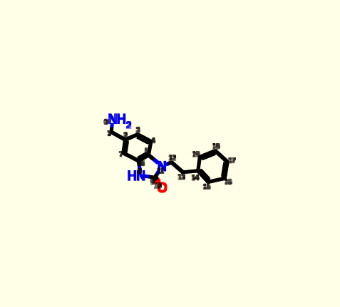 NCc1ccc2c(c1)[nH]c(=O)n2CCc1ccccc1